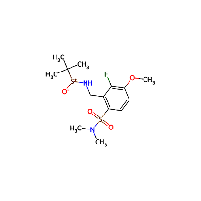 COc1ccc(S(=O)(=O)N(C)C)c(CN[S+]([O-])C(C)(C)C)c1F